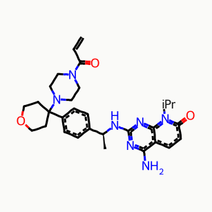 C=CC(=O)N1CCN(C2(c3ccc([C@H](C)Nc4nc(N)c5ccc(=O)n(C(C)C)c5n4)cc3)CCOCC2)CC1